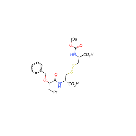 CC(C)C[C@H](OCc1ccccc1)C(=O)N[C@H](CSSC[C@@H](NC(=O)OC(C)(C)C)C(=O)O)C(=O)O